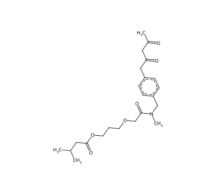 CC(=O)CC(=O)Cc1ccc(CN(C)C(=O)COCCCOC(=O)CC(C)C)cc1